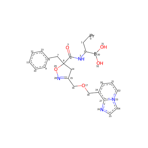 CC(C)CC(NC(=O)C1(Cc2ccccc2)CC(COCc2cccn3ccnc23)=NO1)B(O)O